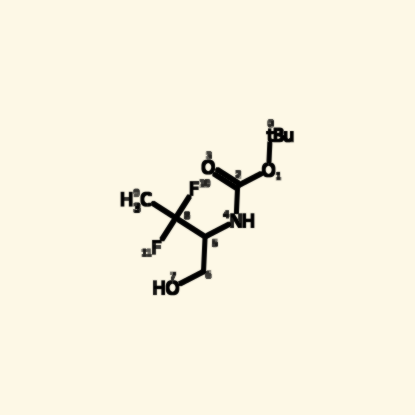 CC(C)(C)OC(=O)NC(CO)C(C)(F)F